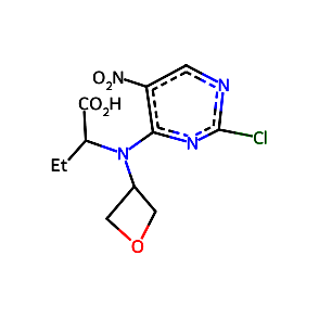 CCC(C(=O)O)N(c1nc(Cl)ncc1[N+](=O)[O-])C1COC1